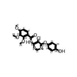 COc1ccc(C(=O)Nc2ncnc(Oc3ccc(O)cc3)c2Cl)c(OC)c1OC